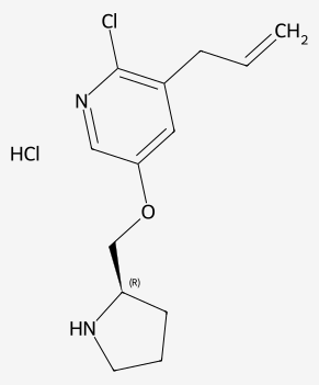 C=CCc1cc(OC[C@H]2CCCN2)cnc1Cl.Cl